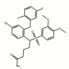 COc1ccc(S(=O)(=O)N(CCCC(N)=O)c2ccc(Cl)cc2Cc2cc(F)ccc2F)cc1OC